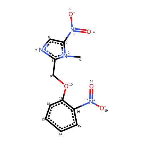 Cn1c([N+](=O)[O-])cnc1COc1ccccc1[N+](=O)[O-]